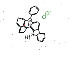 [Cl-].[Cl-].[Hf+2][CH]1c2ccccc2-c2ccc([SiH](c3ccccc3)c3ccccc3)c(C3=CC=CC3)c21